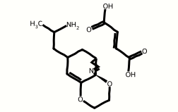 CC(N)CC1C=C2OCCO[C@]23N=CCC3C1.O=C(O)/C=C/C(=O)O